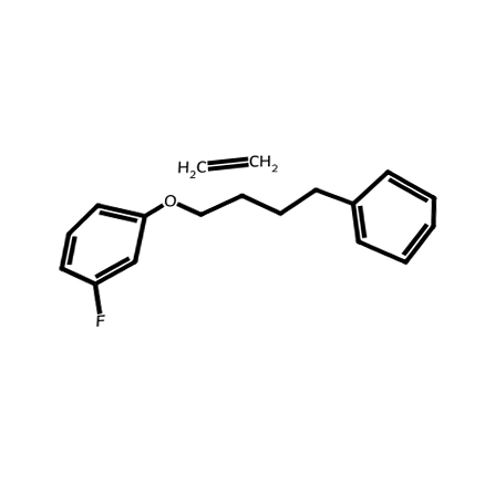 C=C.Fc1cccc(OCCCCc2ccccc2)c1